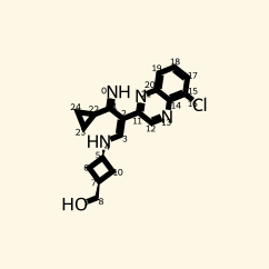 N=C(/C(=C\N[C@H]1C[C@H](CO)C1)c1cnc2c(Cl)cccc2n1)C1CC1